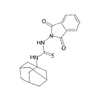 O=C1c2ccccc2C(=O)N1NC(=S)NC12CC3CC(CC(C3)C1)C2